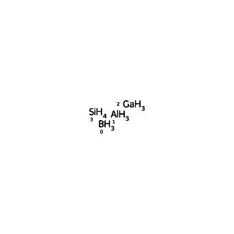 B.[AlH3].[GaH3].[SiH4]